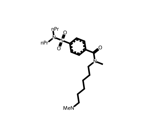 CCCN(CCC)S(=O)(=O)c1ccc(C(=O)N(C)CCCCCCNC)cc1